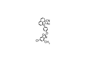 CC(=O)C(Oc1ccc(Oc2nc3c(C)cc(Cl)cc3o2)cc1)C1(C#N)CC=Cc2ccccc21